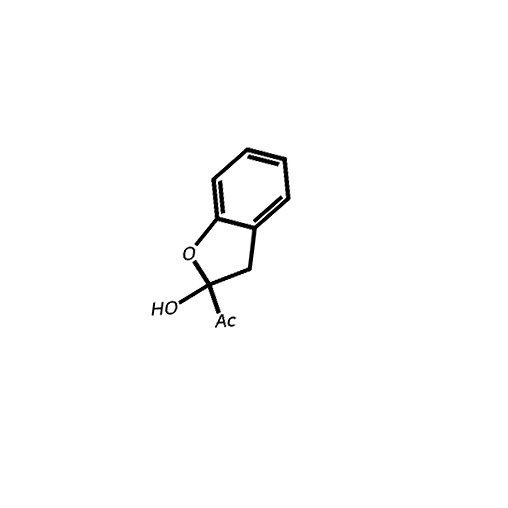 CC(=O)C1(O)Cc2ccccc2O1